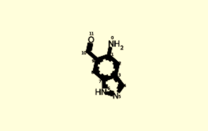 Nc1cc2cn[nH]c2cc1C=O